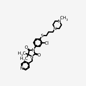 CN1CCN(CCCSc2ccc(N3C(=O)N(Cc4ccncc4)C(C)(C)C3=O)cc2Cl)CC1